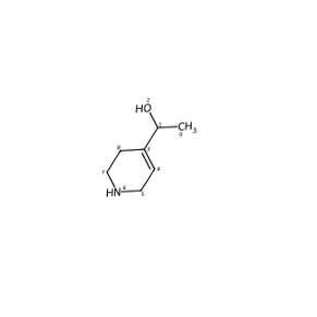 CC(O)C1=CCNCC1